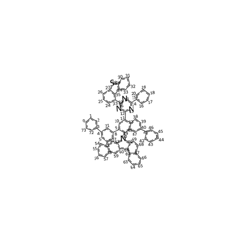 c1ccc(-c2cccc(-c3cc(-c4nc(-c5ccccc5)nc(-c5cccc6sc7ccccc7c56)n4)c4ccc(-c5ccccc5)cc4c3-n3c4cc5ccccc5cc4c4c5ccccc5ccc43)c2)cc1